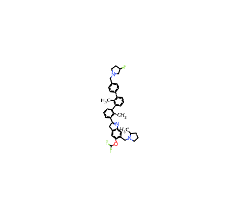 Cc1c(C2=Nc3cc(CN4CCCC4C)c(OC(F)F)cc3C2)cccc1-c1cccc(-c2ccc(CN3CCC(F)C3)cc2)c1C